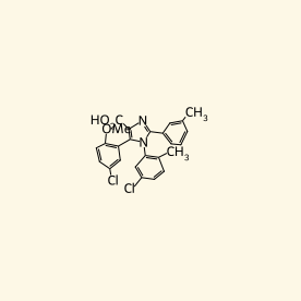 COc1ccc(Cl)cc1-c1c(C(=O)O)nc(-c2cccc(C)c2)n1-c1cc(Cl)ccc1C